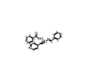 N#Cc1ccncc1.NC(=O)c1ccncc1.ON=Cc1ccncc1